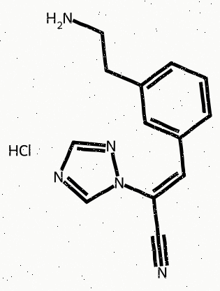 Cl.N#CC(=Cc1cccc(CCN)c1)n1cncn1